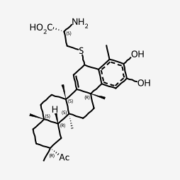 CC(=O)[C@]1(C)CC[C@]2(C)CC[C@]3(C)C4=CC(SC[C@@H](N)C(=O)O)c5c(cc(O)c(O)c5C)[C@]4(C)CC[C@@]3(C)[C@@H]2C1